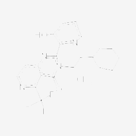 C[C@@H](CC1CCCCC1)n1c(-c2ncccc2O)nc2ccnc(C(F)(F)F)c2c1=O